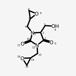 O=C1C(CO)N(CC2CO2)C(=O)N1CC1CO1